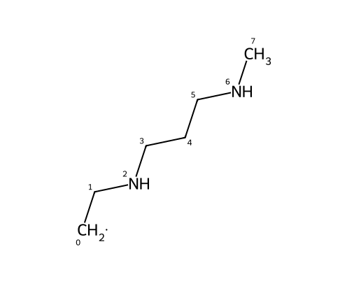 [CH2]CNCCCNC